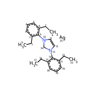 CCc1cccc(CC)c1N1C=CN(c2c(CC)cccc2CC)C1.[Ag]